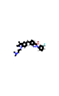 Cc1c(C)n(CCCN(C)C)c2ccc(Cc3ccc(C(=O)Nc4cccc(F)c4)cc3)cc12